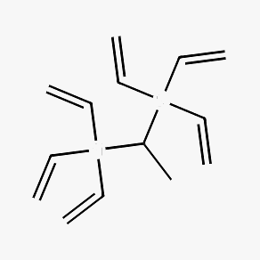 C=C[Si](C=C)(C=C)C(C)[Si](C=C)(C=C)C=C